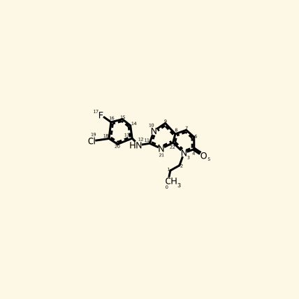 CCCn1c(=O)ccc2cnc(Nc3ccc(F)c(Cl)c3)nc21